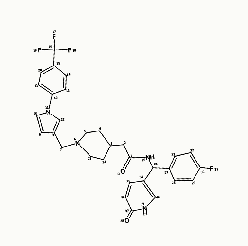 O=C(CC1CCN(Cc2ccn(-c3ccc(C(F)(F)F)cc3)c2)CC1)NC(c1ccc(F)cc1)c1ccc(=O)[nH]c1